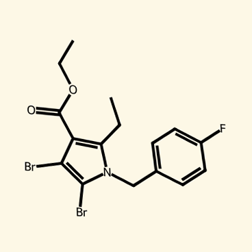 CCOC(=O)c1c(Br)c(Br)n(Cc2ccc(F)cc2)c1CC